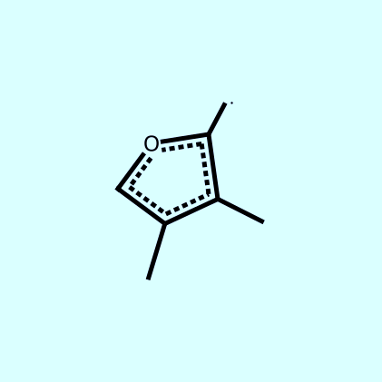 [CH2]c1occ(C)c1C